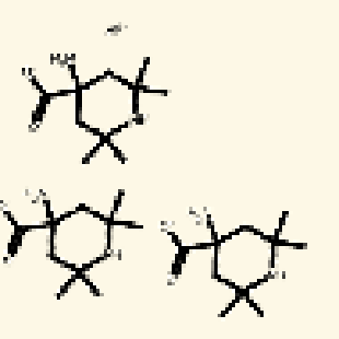 CC1(C)CC(N)(C(=O)[O-])CC(C)(C)N1.CC1(C)CC(N)(C(=O)[O-])CC(C)(C)N1.CC1(C)CC(N)(C(=O)[O-])CC(C)(C)N1.[Al+3]